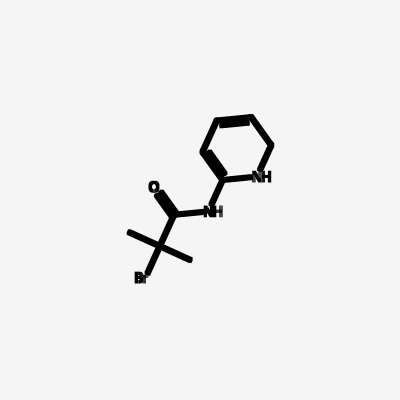 CC(C)(Br)C(=O)NC1=CC=CCN1